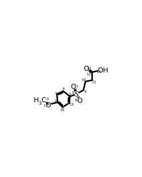 COc1ccc(S(=O)(=O)CCCC(=O)O)cc1